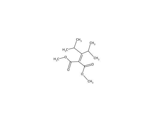 COC(=O)C(C(=O)OC)=C(C(C)C)C(C)C